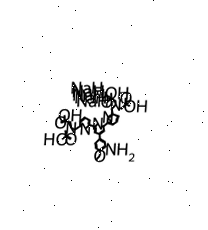 COc1ccc(-c2cc(-c3cccc(CN(CC(=O)O)CC(=O)O)n3)nc(-c3cccc(CN(CC(=O)O)CC(=O)O)n3)c2)cc1N.[NaH].[NaH].[NaH].[NaH].[NaH]